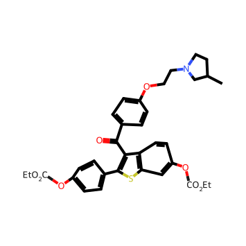 CCOC(=O)Oc1ccc(-c2sc3cc(OC(=O)OCC)ccc3c2C(=O)c2ccc(OCCN3CCC(C)C3)cc2)cc1